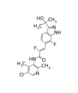 Cc1ncc(Cl)c(C)c1NC(=O)/C(F)=C/c1ccc2c(C(C)(C)O)n[nH]c2c1F